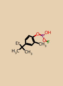 CCC(C)(C)c1ccc(OP(O)OF)c(C)c1